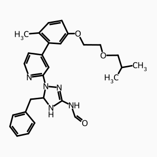 Cc1ccc(OCCOCC(C)C)cc1-c1ccnc(N2N=C(NC=O)NC2Cc2ccccc2)c1